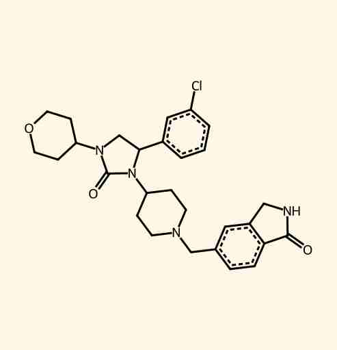 O=C1NCc2cc(CN3CCC(N4C(=O)N(C5CCOCC5)CC4c4cccc(Cl)c4)CC3)ccc21